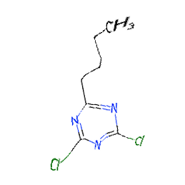 CCCCc1nc(Cl)nc(Cl)n1